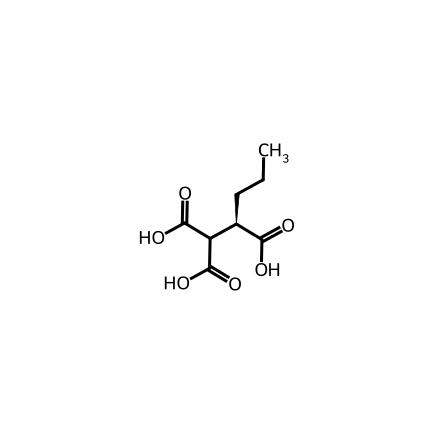 CCC[C@@H](C(=O)O)C(C(=O)O)C(=O)O